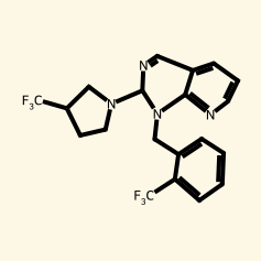 FC(F)(F)c1ccccc1CN1c2ncccc2C=NC1N1CCC(C(F)(F)F)C1